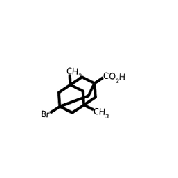 CC12CC3(C)CC(Br)(C1)CC(C(=O)O)(C2)C3